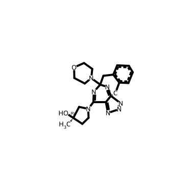 C[C@@]1(O)CCN(C2=NC(Cc3ccccc3C(F)(F)F)(N3CCOCC3)N=C3N=NN=C32)C1